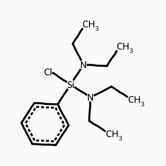 CCN(CC)[Si](Cl)(c1ccccc1)N(CC)CC